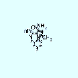 CCCC1N=Cc2cc(F)ccc2-n2c(C)nc(C(N)=O)c21